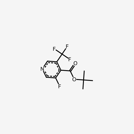 CC(C)(C)OC(=O)c1c(F)cncc1C(F)(F)F